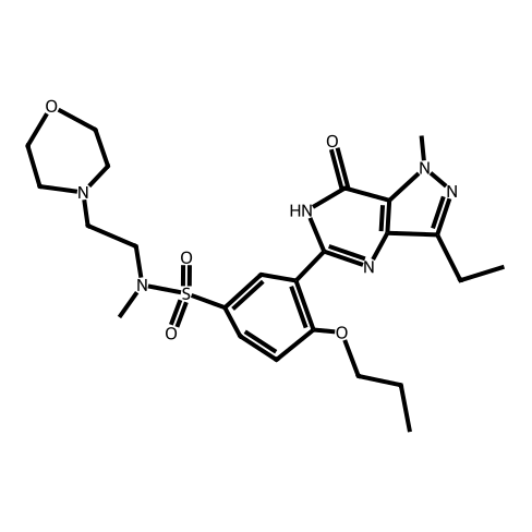 CCCOc1ccc(S(=O)(=O)N(C)CCN2CCOCC2)cc1-c1nc2c(CC)nn(C)c2c(=O)[nH]1